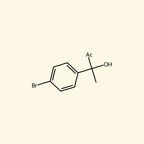 CC(=O)C(C)(O)c1ccc(Br)cc1